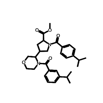 COC(=O)C1CC(C2COCCN2C(=O)c2cccc(C(C)C)c2)CN1C(=O)c1ccc(C(C)C)cc1